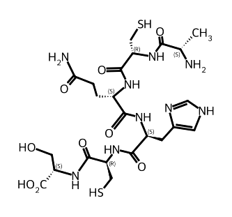 C[C@H](N)C(=O)N[C@@H](CS)C(=O)N[C@@H](CCC(N)=O)C(=O)N[C@@H](Cc1c[nH]cn1)C(=O)N[C@@H](CS)C(=O)N[C@@H](CO)C(=O)O